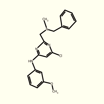 COc1cccc(Nc2cc(Cl)nc(CN(C)Cc3ccccc3)n2)c1